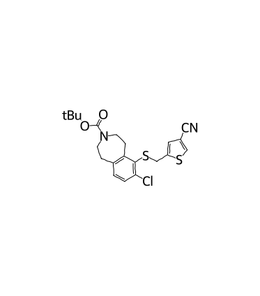 CC(C)(C)OC(=O)N1CCc2ccc(Cl)c(SCc3cc(C#N)cs3)c2CC1